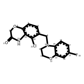 O=C1COc2ccc(CN3CCOc4cc(F)ccc43)c(Cl)c2N1